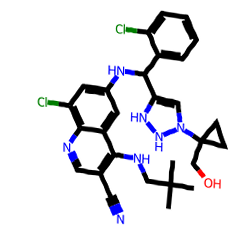 CC(C)(C)CNc1c(C#N)cnc2c(Cl)cc(NC(C3=CN(C4(CO)CC4)NN3)c3ccccc3Cl)cc12